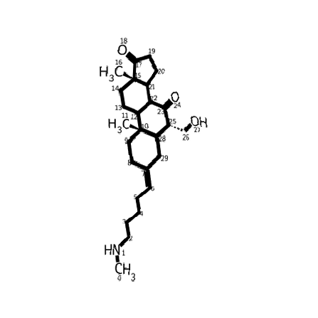 CNCCCC/C=C1\CC[C@]2(C)C3CC[C@]4(C)C(=O)CCC4C3C(=O)[C@H](CO)C2C1